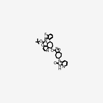 CC(C)(C)OC(=O)N[C@@H]1c2cccnc2[C@H](Oc2noc3c2CC[C@H](n2c(=O)[nH]c4ncccc42)CC3)CC[C@H]1c1cccc(F)c1F